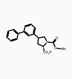 CC(C)(C)OC(=O)N1CC(c2cccc(-c3ccccc3)c2)C[C@@H]1C(=O)O